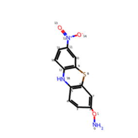 NOc1ccc2c(c1)Sc1cc([N+](=O)[O-])ccc1N2